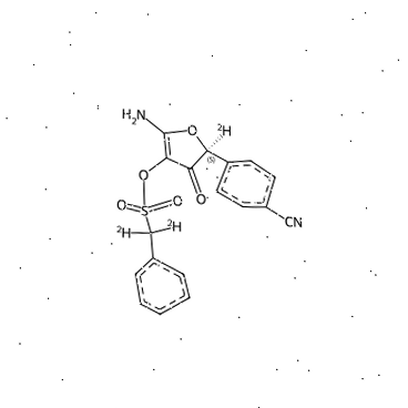 [2H]C([2H])(c1ccccc1)S(=O)(=O)OC1=C(N)O[C@@]([2H])(c2ccc(C#N)cc2)C1=O